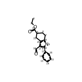 CCOC(=O)C1CCc2nn(-c3ccccc3)c(C=O)c2C1